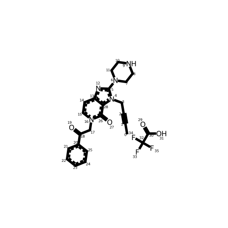 CC#CCn1c(N2CCNCC2)nc2ccn(CC(=O)c3ccccc3)c(=O)c21.O=C(O)C(F)(F)F